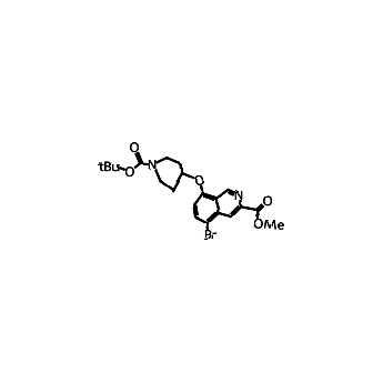 COC(=O)c1cc2c(Br)ccc(OC3CCN(C(=O)OC(C)(C)C)CC3)c2cn1